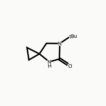 CC(C)(C)N1CC2(CC2)NC1=O